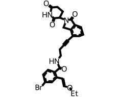 CCO/C=C/c1cc(Br)ccc1C(=O)NCCC#Cc1cccc2c1CN(C1CCC(=O)NC1=O)C2=O